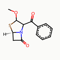 COC1S[C@@H]2CC(=O)N2C1C(=O)c1ccccc1